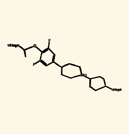 CCCCCCCC1CCC([SiH]2CCC(c3cc(F)c(OC(C)CCCCCCC)c(F)c3)CC2)CC1